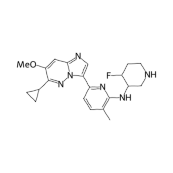 COc1cc2ncc(-c3ccc(C)c(NC4CNCCC4F)n3)n2nc1C1CC1